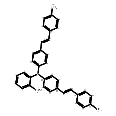 COc1ccccc1N(c1ccc(/C=C/c2ccc(C)cc2)cc1)c1ccc(/C=C/c2ccc(C)cc2)cc1